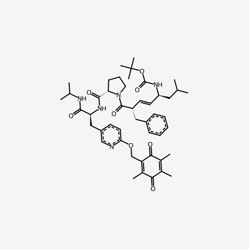 CC1=C(C)C(=O)C(COc2ccc(C[C@H](NC(=O)[C@@H]3CCCN3C(=O)[C@H](/C=C/[C@H](CC(C)C)NC(=O)OC(C)(C)C)Cc3ccccc3)C(=O)NC(C)C)cn2)=C(C)C1=O